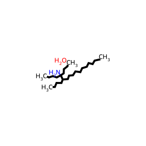 CCCCCCCCCCCCC(CCCC)C(N)(CCCC)CCCC.O